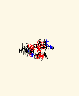 CC[C@H]1OC(=O)[C@H](C)[C@@H](O[C@H]2C[C@@](C)(OC)[C@@H](OC(=O)CCNCCN3CCCC3)[C@H](C)O2)[C@H](C)[C@@H](O[C@@H]2O[C@H](C)C[C@H](N(C)C)[C@H]2O)[C@](C)(OC)C[C@@H](C)C(=O)N[C@H](C)[C@@H](O)[C@]1(C)O